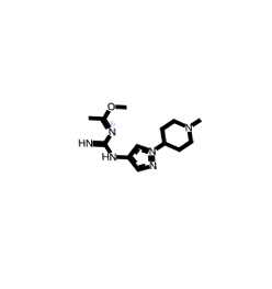 CO/C(C)=N/C(=N)Nc1cnn(C2CCN(C)CC2)c1